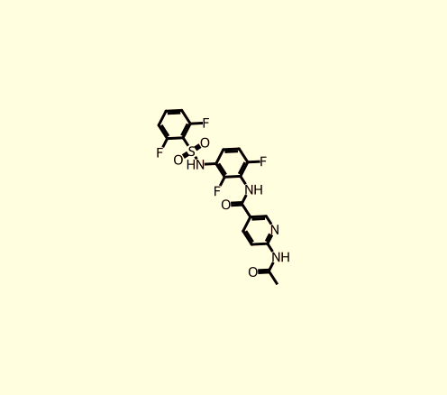 CC(=O)Nc1ccc(C(=O)Nc2c(F)ccc(NS(=O)(=O)c3c(F)cccc3F)c2F)cn1